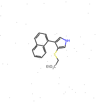 CCOC(=O)CSc1c[nH]cc1-c1cccc2ccccc12